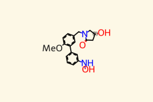 COc1ccc(CN2C[C@H](O)CC2=O)cc1-c1cccc(NO)c1